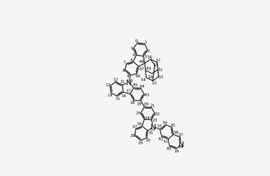 c1ccc2c(c1)-c1ccc(-n3c4ccccc4c4cc(-c5ccc6c(c5)c5ccccc5n6-c5ccc6cnccc6c5)ccc43)cc1C21C2CC3CC(C2)CC1C3